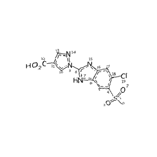 CS(=O)(=O)c1cc2[nH]c(-n3cc(C(=O)O)cn3)nc2cc1Cl